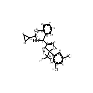 O=C(NC(C1=NOC(c2cc(Cl)cc(Cl)c2)(C(F)(F)F)C1)c1ccccc1Cl)C1CC1